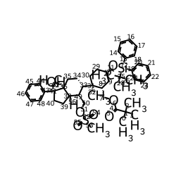 CC(C)(C)C(=O)OC[C@H]1C[C@@H](O[Si](c2ccccc2)(c2ccccc2)C(C)(C)C)CC[C@]1(C)[C@H]1CC[C@@]2(C)[C@@H](CC[C@@]2(O)c2ccccc2)[C@@H]1COS(C)(=O)=O